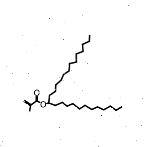 C=C(C)C(=O)OC(CCCCCCCCCCCC)CCCCCCCCCCCCC